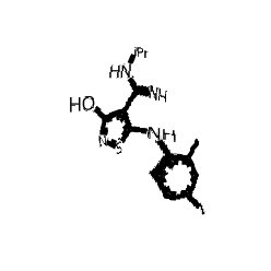 Cc1cc(I)ccc1Nc1snc(O)c1C(=N)NC(C)C